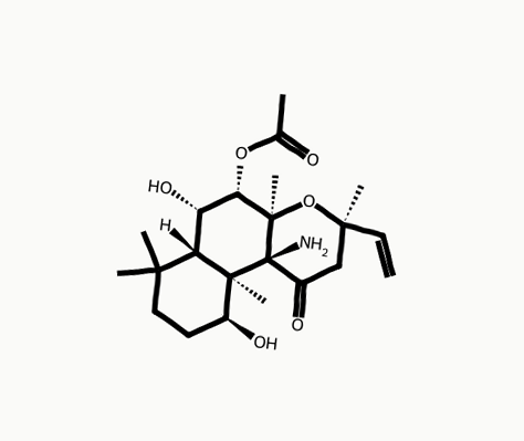 C=C[C@@]1(C)CC(=O)[C@]2(N)[C@@]3(C)[C@@H](O)CCC(C)(C)[C@@H]3[C@H](O)[C@H](OC(C)=O)[C@@]2(C)O1